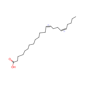 CCCC/C=C\CC/C=C\CCCCCCCCCCCC(=O)O